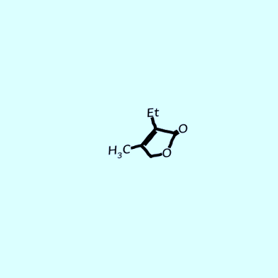 CCC1=C(C)COC1=O